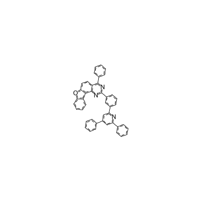 c1ccc(-c2cc(-c3ccccc3)nc(-c3cccc(-c4nc(-c5ccccc5)c5ccc6oc7ccccc7c6c5n4)c3)c2)cc1